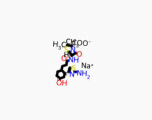 CC1(C)S[C@@H]2[C@H](NC(=O)CCC3CC[C@H](O)C[C@H]3c3csc(N)n3)C(=O)N2[C@H]1C(=O)[O-].[Na+]